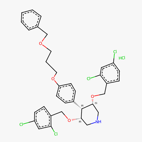 Cl.Clc1ccc(CO[C@H]2CNC[C@@H](OCc3ccc(Cl)cc3Cl)[C@H]2c2ccc(OCCCOCc3ccccc3)cc2)c(Cl)c1